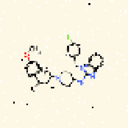 COc1ccc(C(C)CC(C)N2CCC(Nc3nc4ccccc4n3Cc3ccc(F)cc3)CC2)cc1